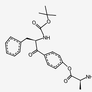 C[C@H](N)C(=O)Oc1ccc(C(=O)[C@@H](Cc2ccccc2)NC(=O)OC(C)(C)C)cc1